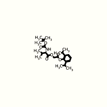 CC(C)c1cccc(C(C)C)c1OC(=O)COC(=O)[C@@H](NC(=O)OC(C)(C)C)C(C)C